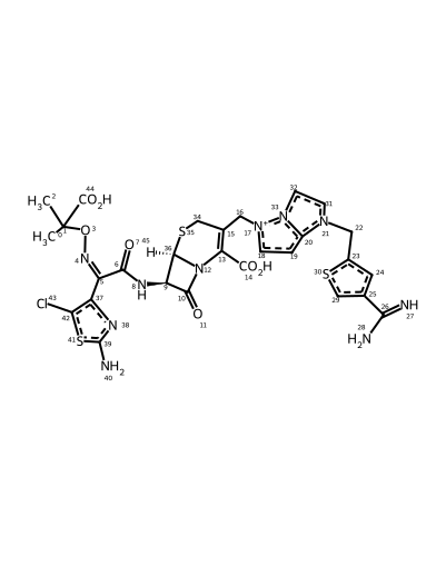 CC(C)(O/N=C(\C(=O)N[C@@H]1C(=O)N2C(C(=O)O)=C(C[n+]3ccc4n(Cc5cc(C(=N)N)cs5)ccn43)CS[C@H]12)c1nc(N)sc1Cl)C(=O)O